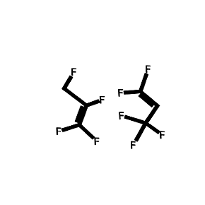 FC(F)=CC(F)(F)F.FCC(F)=C(F)F